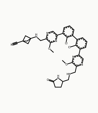 COc1nc(-c2cccc(-c3cccc(-c4cnc(CNC56CC(C#N)(C5)C6)c(OC)n4)c3Cl)c2Cl)cnc1CNCC1CCC(=O)N1